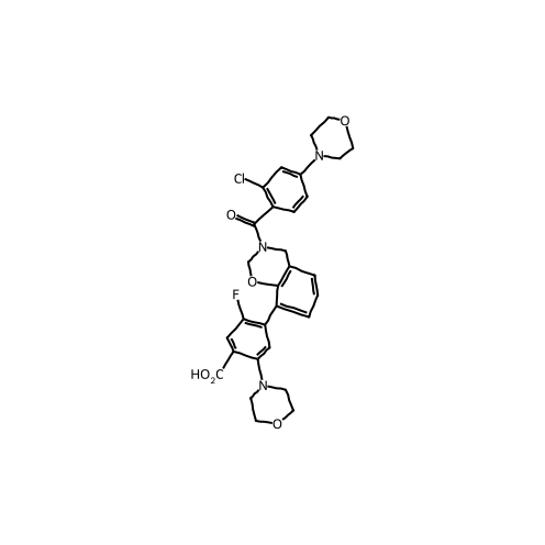 O=C(O)c1cc(F)c(-c2cccc3c2OCN(C(=O)c2ccc(N4CCOCC4)cc2Cl)C3)cc1N1CCOCC1